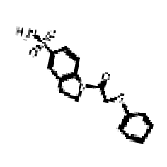 NS(=O)(=O)c1ccc2c(c1)CCN2C(=O)CSc1ccccc1